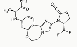 C[C@H](Nc1ccc2c(c1)OCCn1cc(N3C(=C=O)SC[C@H]3C(F)F)nc1-2)C(N)=O